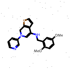 COc1ccc(OC)c(CNC2=CN(c3cccnc3)Cc3sccc32)c1